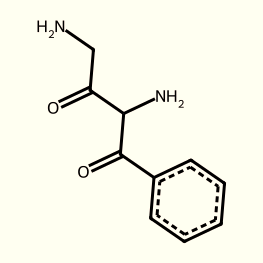 NCC(=O)C(N)C(=O)c1ccccc1